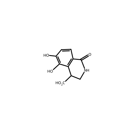 O=C1NCC(C(=O)O)c2c1ccc(O)c2O